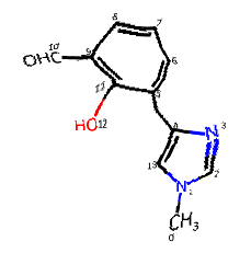 Cn1cnc(-c2cccc(C=O)c2O)c1